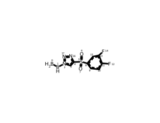 BBn1cc(S(=O)(=O)c2ccc(F)c(F)c2)nn1